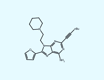 CCCCC#Cc1nc(N)c2nc(-c3ccco3)n(CCN3CCCCC3)c2n1